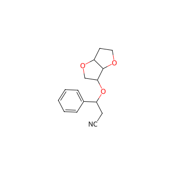 N#CCC(OC1COC2CCOC21)c1ccccc1